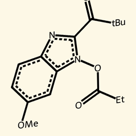 CCC(=O)On1c(C(=O)C(C)(C)C)nc2ccc(OC)cc21